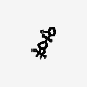 CC(O)(c1ccc(S(=O)(=O)c2ccccc2Cl)cc1)C(F)(F)F